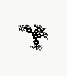 CC(C)C1=Cc2c(-c3ccc(C(C)(C)C)cc3)cccc2[CH]1[Ti+2]1([CH]2C(C(C)C)=Cc3c(-c4ccc(C(C)(C)C)cc4)cccc32)[CH2]C[CH2]1.[Cl-].[Cl-]